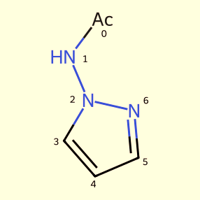 CC(=O)Nn1cccn1